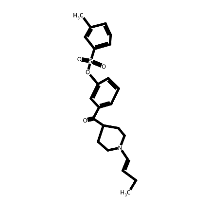 CCC=CN1CCC(C(=O)c2cccc(OS(=O)(=O)c3cccc(C)c3)c2)CC1